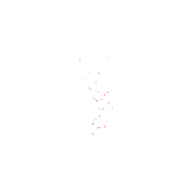 CCC(C)CC(C)CC(C)CC(C)/C=C(C)/C=C(/CC(C)C(=O)O[C@H]1CCOC1=O)C(=O)OC(C)(C)C